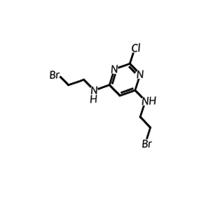 Clc1nc(NCCBr)cc(NCCBr)n1